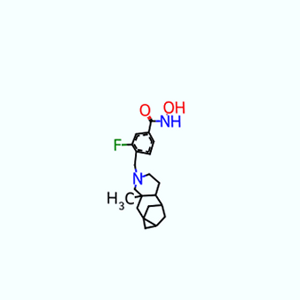 CC12CN(Cc3ccc(C(=O)NO)cc3F)CCC1C1CC3CC3(C1)C2